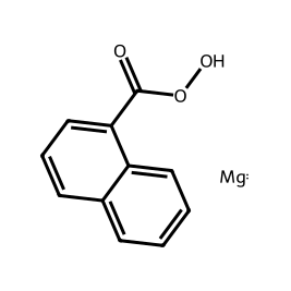 O=C(OO)c1cccc2ccccc12.[Mg]